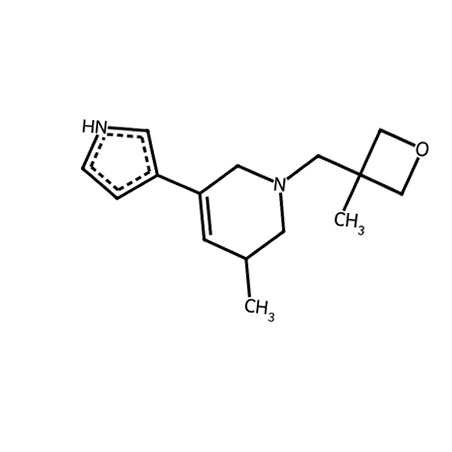 CC1C=C(c2cc[nH]c2)CN(CC2(C)COC2)C1